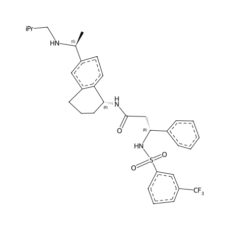 CC(C)CN[C@@H](C)c1ccc2c(c1)CCC[C@H]2NC(=O)C[C@@H](NS(=O)(=O)c1cccc(C(F)(F)F)c1)c1ccccc1